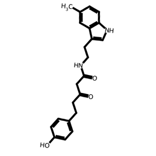 Cc1ccc2[nH]cc(CCNC(=O)CC(=O)CCc3ccc(O)cc3)c2c1